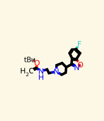 C=C(NCCN1CCC(c2noc3cc(F)ccc23)CC1)OC(C)(C)C